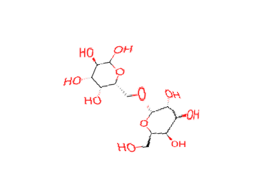 OC[C@H]1O[C@H](OC[C@H]2OC(O)[C@H](O)[C@@H](O)[C@H]2O)[C@H](O)[C@@H](O)[C@H]1O